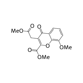 COC(=O)Cc1c(C(=O)OC)oc2c(OC)cccc2c1=O